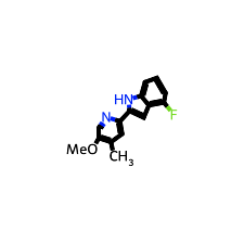 COc1cnc(-c2cc3c(F)cccc3[nH]2)cc1C